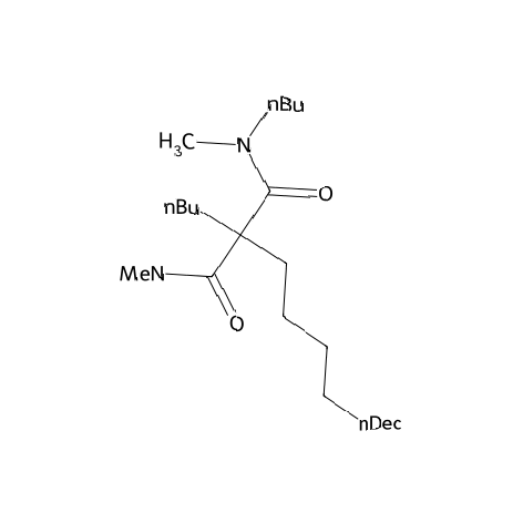 CCCCCCCCCCCCCCC(CCCC)(C(=O)NC)C(=O)N(C)CCCC